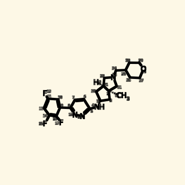 C[C@]12C[C@H](Nc3ccc(-c4cc(F)cc(F)c4F)nn3)C[C@H]1CN(CC1CCOCC1)C2